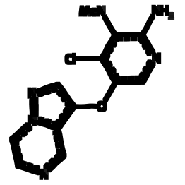 CNc1c(N)ncc(Oc2cnn3ccncc23)c1Cl